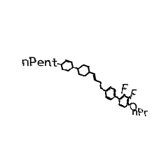 CCCCCC1CCC(C2CCC(/C=C/CCc3ccc(-c4ccc(OCCC)c(F)c4F)cc3)CC2)CC1